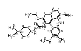 CCOc1cc2ncc(C#N)c(Nc3cnc(OC)c(C)c3)c2cc1NC(=O)NC1CCN(C(C)C)CC1